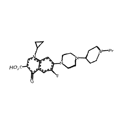 CC(C)N1CCC(N2CCN(c3cc4c(cc3F)c(=O)c(C(=O)O)cn4C3CC3)CC2)CC1